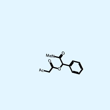 CNC(=O)C(OC(=O)CC(C)=O)c1ccccc1